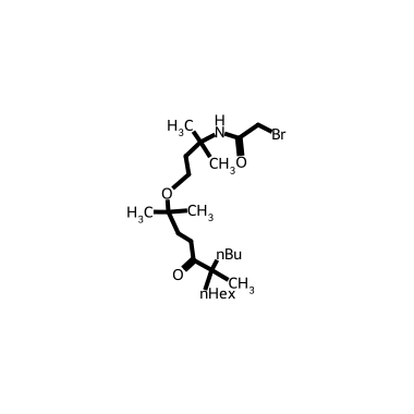 CCCCCCC(C)(CCCC)C(=O)CCC(C)(C)OCCC(C)(C)NC(=O)CBr